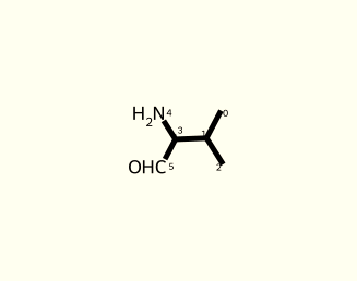 CC(C)[C](N)C=O